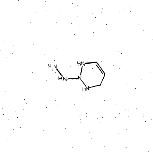 NNN1NC=CCN1